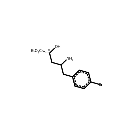 CCOC(=O)[C@H](O)CC(N)Cc1ccc(Br)cc1